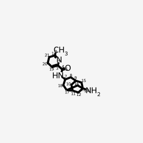 CC1=NC(C(=O)NC2CC3CC4CC(N)(C3)CC4C2)=CCC1